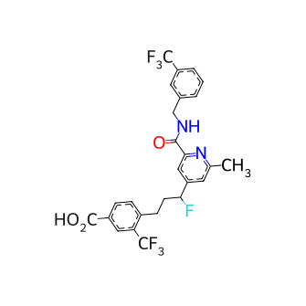 Cc1cc(C(F)CCc2ccc(C(=O)O)cc2C(F)(F)F)cc(C(=O)NCc2cccc(C(F)(F)F)c2)n1